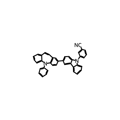 N#Cc1cccc(-n2c3ccccc3c3cc(-c4ccc5c(c4)C=Cc4ccccc4N5c4ccccc4)ccc32)c1